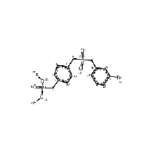 O=P(Cc1ccc(CS(=O)(=O)Cc2cc[c]c(Br)c2)cc1)(OF)OF